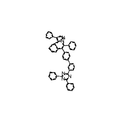 c1ccc(-c2nc(-c3ccccc3)nc(-c3cccc(-c4ccc(-c5c(-c6ccccc6)n6ncc(-c7ccccc7)c6c6ccccc56)cc4)c3)n2)cc1